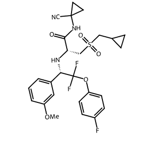 COc1cccc([C@H](N[C@@H](CS(=O)(=O)CC2CC2)C(=O)NC2(C#N)CC2)C(F)(F)Oc2ccc(F)cc2)c1